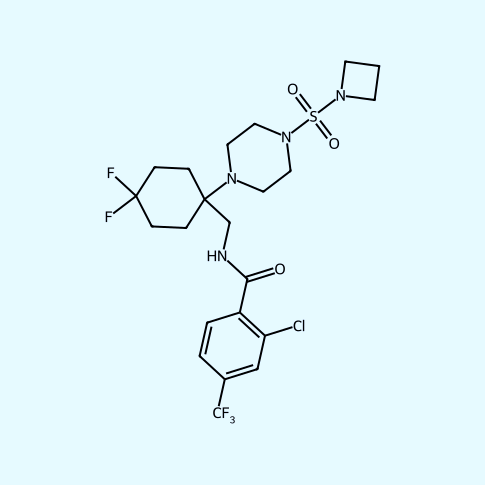 O=C(NCC1(N2CCN(S(=O)(=O)N3CCC3)CC2)CCC(F)(F)CC1)c1ccc(C(F)(F)F)cc1Cl